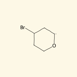 BrC1C[CH]OCC1